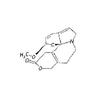 CO[C@H]1C=CC2=CCN3CCC4=C(CC(=O)OC4)[C@]23C1